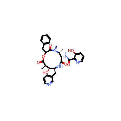 C[C@@H]1[C@H](NC(=O)c2ncccc2O)C(=O)N[C@@H](Cc2cccnc2)[C@@H](O)[C@@H](C)C(=O)OC(Cc2ccccc2)C(=O)N1C